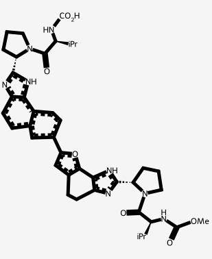 COC(=O)N[C@H](C(=O)N1CCC[C@H]1c1nc2c([nH]1)-c1oc(-c3ccc4c(ccc5nc([C@@H]6CCCN6C(=O)[C@@H](NC(=O)O)C(C)C)[nH]c54)c3)cc1CC2)C(C)C